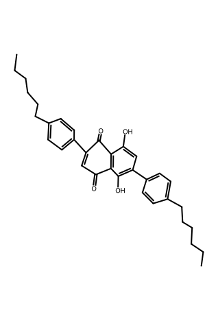 CCCCCCc1ccc(C2=CC(=O)c3c(O)c(-c4ccc(CCCCCC)cc4)cc(O)c3C2=O)cc1